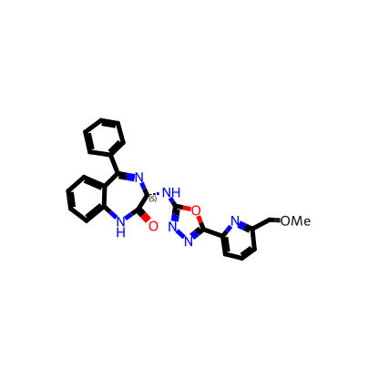 COCc1cccc(-c2nnc(N[C@H]3N=C(c4ccccc4)c4ccccc4NC3=O)o2)n1